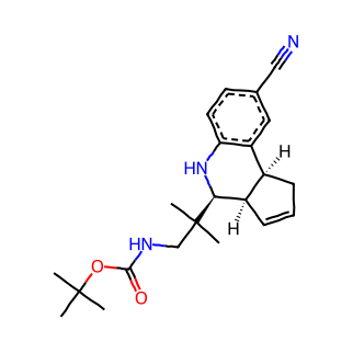 CC(C)(C)OC(=O)NCC(C)(C)[C@H]1Nc2ccc(C#N)cc2[C@H]2CC=C[C@H]21